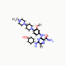 CCOc1cc(Nc2nc(N[C@H]3CC[C@H](O)CC3)c(CC)nc2C(N)=O)ccc1N1CCC(N2CCN(C)CC2)CC1